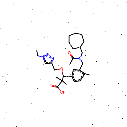 CCn1cc(COC(c2ccc(C)c(CN(CC3CCCCCC3)C(C)=O)c2)C(C)(C)C(=O)O)nn1